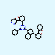 c1ccc(-c2nc(-c3ccc(-c4cccc5oc6ccccc6c45)c4ccccc34)nc(-c3cccc4oc5ccncc5c34)n2)cc1